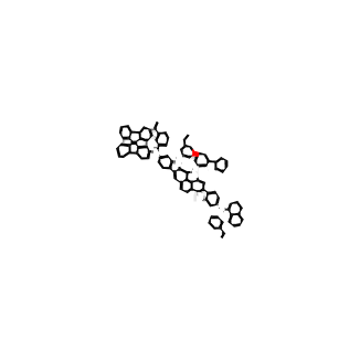 C=Cc1cccc(N(c2ccc3c(c2)C2(c4ccccc4-c4ccccc42)c2ccccc2-3)c2ccc3c4cc5ccc6c7[nH]c8cc(N(c9cccc(C=C)c9)c9cccc%10ccccc9%10)ccc8c7cc7c6c5c(c4n(-c4cccc(C=C)c4)c3c2)n7-c2cccc3c2sc2ccccc23)c1